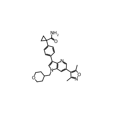 Cc1noc(C)c1-c1cnc2c(-c3ccc(C4(C(N)=O)CC4)cc3)cn(CC3CCOCC3)c2c1